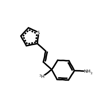 [2H]C1(C=Cc2cccs2)C=CC(N)=CC1